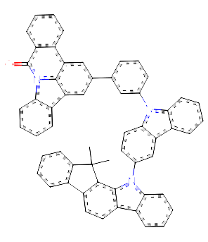 CC1(C)c2ccccc2-c2ccc3c4ccccc4n(-c4ccc5c(c4)c4ccccc4n5-c4cccc(-c5cc6c7ccccc7c(=O)n7c8ccccc8c(c5)c67)c4)c3c21